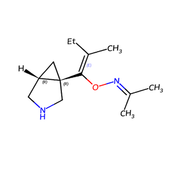 CC/C(C)=C(/ON=C(C)C)[C@@]12CNC[C@@H]1C2